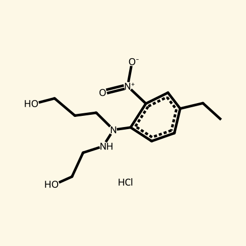 CCc1ccc(N(CCCO)NCCO)c([N+](=O)[O-])c1.Cl